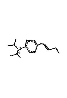 CCC=Cc1ccc([SiH](C(C)C)C(C)C)cc1